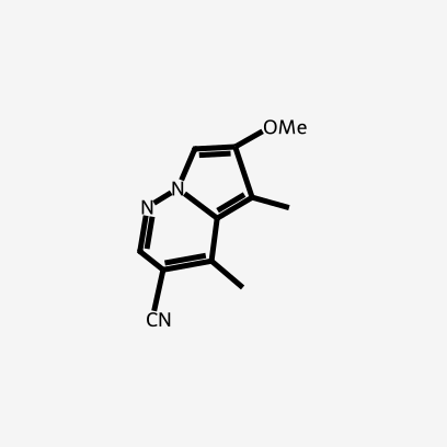 COc1cn2ncc(C#N)c(C)c2c1C